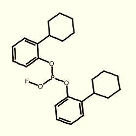 FOP(Oc1ccccc1C1CCCCC1)Oc1ccccc1C1CCCCC1